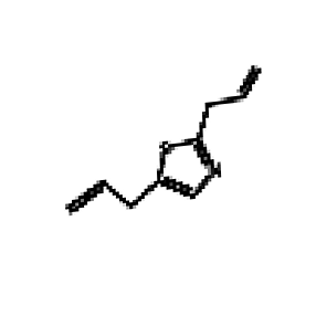 C=CCc1cnc(CC=C)s1